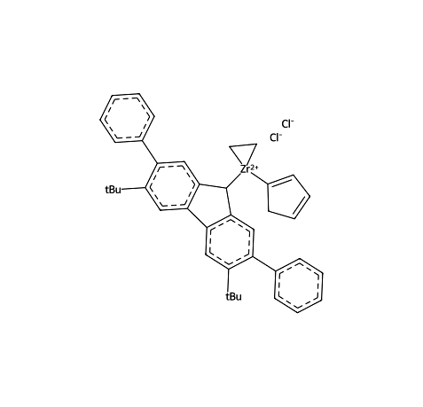 CC(C)(C)c1cc2c(cc1-c1ccccc1)[CH]([Zr+2]1([C]3=CC=CC3)[CH2][CH2]1)c1cc(-c3ccccc3)c(C(C)(C)C)cc1-2.[Cl-].[Cl-]